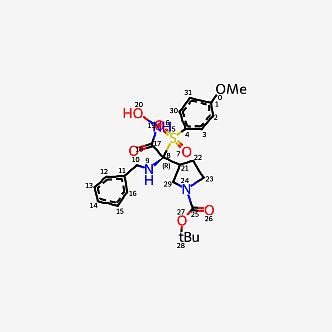 COc1ccc(S(=O)(=O)[C@@](NCc2ccccc2)(C(=O)NO)C2CCN(C(=O)OC(C)(C)C)C2)cc1